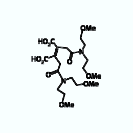 COCCN(CCOC)C(=O)CC(C(=O)O)=C(CC(=O)N(CCOC)CCOC)C(=O)O